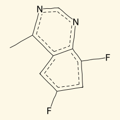 Cc1ncnc2c(F)cc(F)cc12